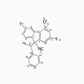 [C-]#[N+]C(c1ccc(F)cc1)(c1cc(F)cc(C(F)(F)F)c1)C(I)c1ccccc1